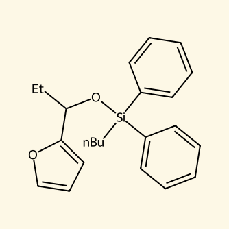 CCCC[Si](OC(CC)c1ccco1)(c1ccccc1)c1ccccc1